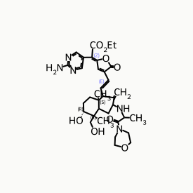 C=C1C(NC(C)C(=O)N2CCOCC2)CC2[C@](C)(CC[C@@H](O)[C@@]2(C)CO)C1/C=C/C1=CC(=C(/C(=O)OCC)c2cnc(N)nc2)/OC1=O